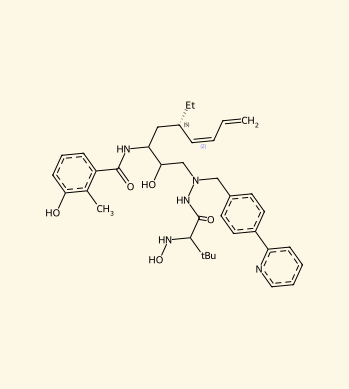 C=C/C=C\[C@@H](CC)CC(NC(=O)c1cccc(O)c1C)C(O)CN(Cc1ccc(-c2ccccn2)cc1)NC(=O)C(NO)C(C)(C)C